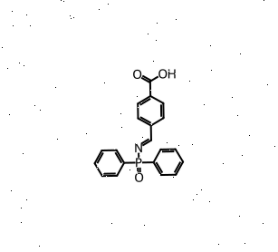 O=C(O)c1ccc(/C=N/P(=O)(c2ccccc2)c2ccccc2)cc1